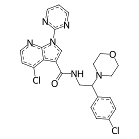 O=C(NCC(c1ccc(Cl)cc1)N1CCOCC1)c1cn(-c2ncccn2)c2nccc(Cl)c12